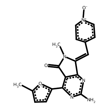 Cc1ccc(-c2nc(N)nc3c2C(=O)N(C)C3=Cc2cc[n+]([O-])cc2)o1